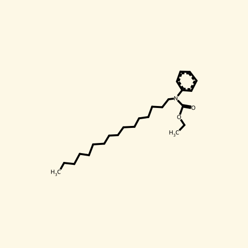 CCCCCCCCCCCCCCCCN(C(=O)OCC)c1ccccc1